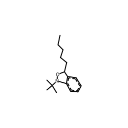 CCCCCC1ON(C(C)(C)C)c2ccccc21